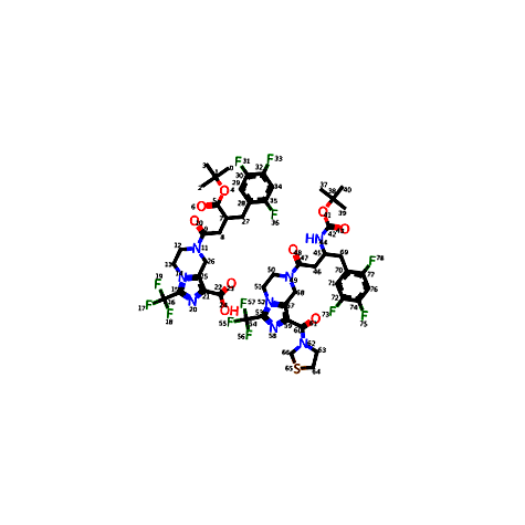 CC(C)(C)OC(=O)C(CC(=O)N1CCn2c(C(F)(F)F)nc(C(=O)O)c2C1)Cc1cc(F)c(F)cc1F.CC(C)(C)OC(=O)NC(CC(=O)N1CCn2c(C(F)(F)F)nc(C(=O)N3CCSC3)c2C1)Cc1cc(F)c(F)cc1F